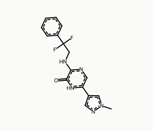 Cn1cc(-c2cnc(NCC(F)(F)c3ccccc3)c(=O)[nH]2)cn1